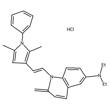 C=C1C=Cc2cc(N(CC)CC)ccc2N1/C=C/c1cc(C)n(-c2ccccc2)c1C.Cl